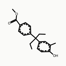 CCC(CC)(c1ccc(C(=O)OC)cc1)c1ccc(O)c(C)c1